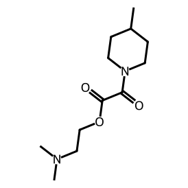 CC1CCN(C(=O)C(=O)OCCN(C)C)CC1